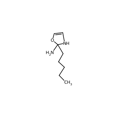 CCCCCC1(N)NC=CO1